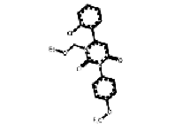 CCOCn1c(-c2ccccc2Cl)cc(=O)n(-c2ccc(OC(F)(F)F)cc2)c1=O